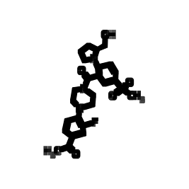 CC(=O)c1ccc(N2CCN(C(=O)c3cc(S(C)(=O)=O)ccc3N3CCC[C@H]3CO)CC2)c(F)c1